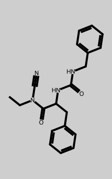 CCN(C#N)C(=O)C(Cc1ccccc1)NC(=O)NCc1ccccc1